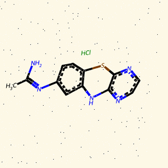 CC(N)=Nc1ccc2c(c1)Nc1nccnc1S2.Cl